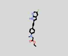 CCOC(=O)CN(C)c1ccc(C#Cc2cc3cc(F)cnc3[nH]2)cc1